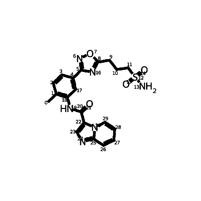 Cc1ccc(-c2noc(CCCS(N)(=O)=O)n2)cc1NC(=O)c1cnc2ccccn12